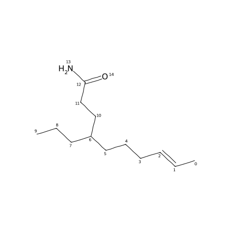 CC=CCCCC(CCC)CCC(N)=O